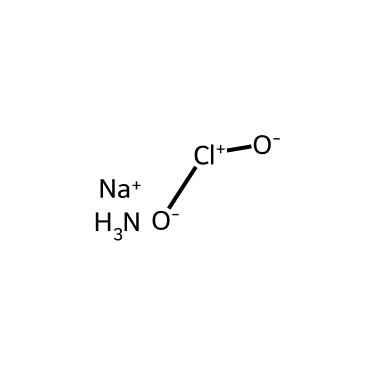 N.[Na+].[O-][Cl+][O-]